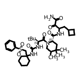 CC1CN(C(=O)[C@@H](NC(=O)NC2(CS(=O)(=O)c3ccccc3)CCCCC2)C(C)(C)C)[C@H](C(=O)NC(CC2CCC2)C(=O)C(N)=O)CC1(C)C